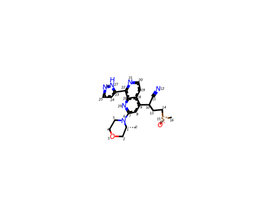 C[C@@H]1COCCN1c1cc(C(C#N)CC[S+](C)[O-])c2ccnc(-c3ccn[nH]3)c2n1